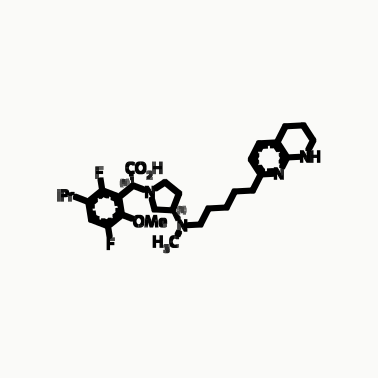 COc1c(F)cc(C(C)C)c(F)c1[C@H](C(=O)O)N1CC[C@@H](N(C)CCCCCc2ccc3c(n2)NCCC3)C1